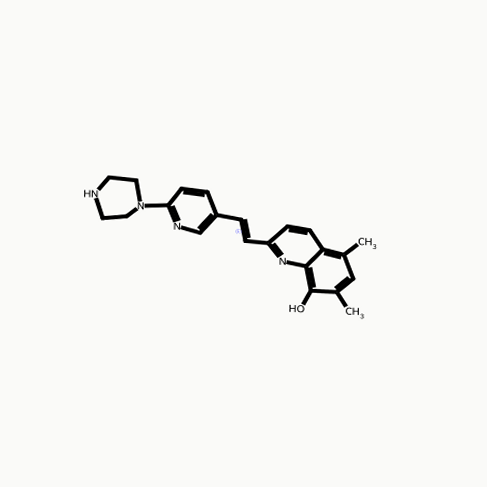 Cc1cc(C)c2ccc(/C=C/c3ccc(N4CCNCC4)nc3)nc2c1O